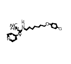 N#CN/C(=N\c1ccncc1)NCCCCCCCOc1ccc(Cl)cc1